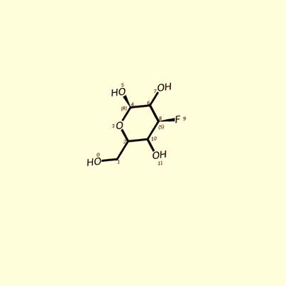 OCC1O[C@@H](O)C(O)[C@@H](F)C1O